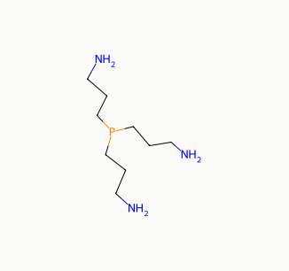 NCCCP(CCCN)CCCN